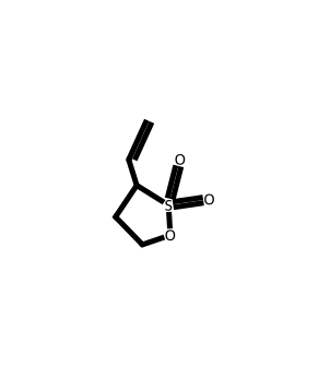 C=CC1CCOS1(=O)=O